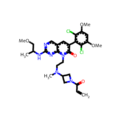 C=CC(=O)N1CC(N(C)CCn2c(=O)c(-c3c(Cl)c(OC)cc(OC)c3Cl)cc3cnc(NC(C)COC)nc32)C1